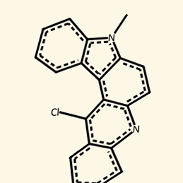 Cn1c2ccccc2c2c3c(Cl)c4ccccc4nc3ccc21